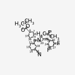 CC(C)OC(=O)c1ccc([C@@H](c2cccc(C#N)c2)N2CC([C@@H](c3cc(F)cc(F)c3)C(C)(C)F)C2)cc1